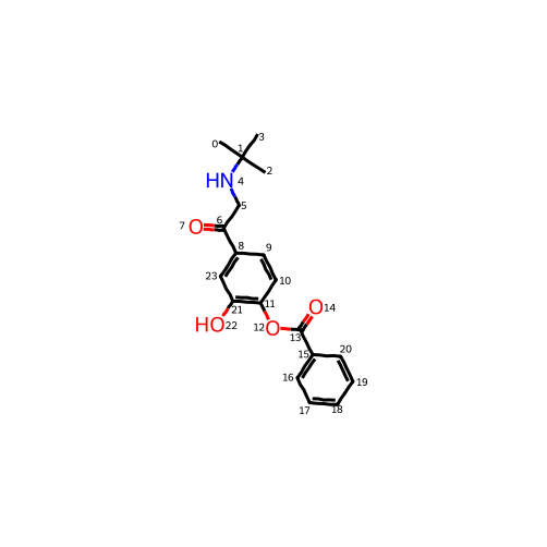 CC(C)(C)NCC(=O)c1ccc(OC(=O)c2ccccc2)c(O)c1